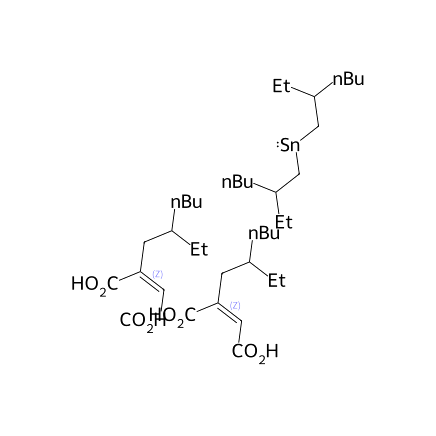 CCCCC(CC)C/C(=C/C(=O)O)C(=O)O.CCCCC(CC)C/C(=C/C(=O)O)C(=O)O.CCCCC(CC)[CH2][Sn][CH2]C(CC)CCCC